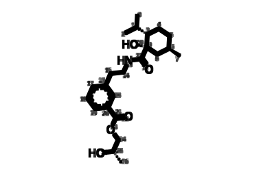 CC(C)[C@@H]1CC[C@@H](C)C[C@@]1(O)C(=O)NCCc1cccc(C(=O)OC[C@H](C)O)c1